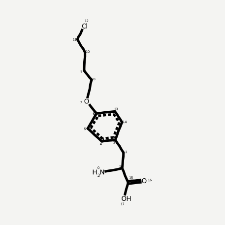 NC(Cc1ccc(OCCCCCl)cc1)C(=O)O